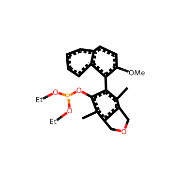 CCOP(OCC)Oc1c(C)c2c(c(C)c1-c1c(OC)ccc3ccccc13)COC2